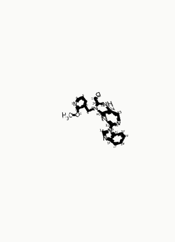 COc1ncccc1CN1c2nc(-n3cnc4ccccc43)ncc2NC1C=O